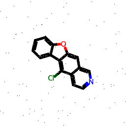 Clc1c2ccncc2cc2oc3ccccc3c12